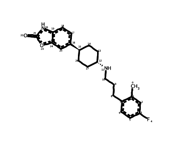 Cc1cc(F)ccc1CCCN[C@H]1CC[C@H](c2ccc3[nH]c(=O)oc3c2)CC1